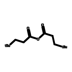 CC(C)(C)CCC(=O)OC(=O)CCC(C)(C)C